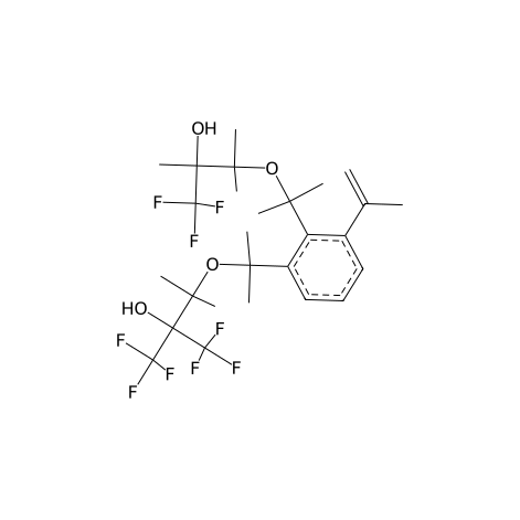 C=C(C)c1cccc(C(C)(C)OC(C)(C)C(O)(C(F)(F)F)C(F)(F)F)c1C(C)(C)OC(C)(C)C(C)(O)C(F)(F)F